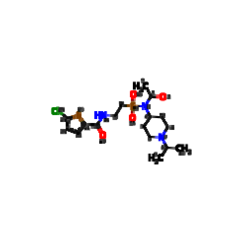 CC(=O)N(C1CCN(C(C)C)CC1)S(=O)(=O)CCNC(=O)c1ccc(Cl)s1